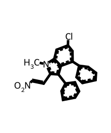 Cn1c(C=C[N+](=O)[O-])c(-c2ccccc2)c2c(-c3ccccc3)cc(Cl)cc21